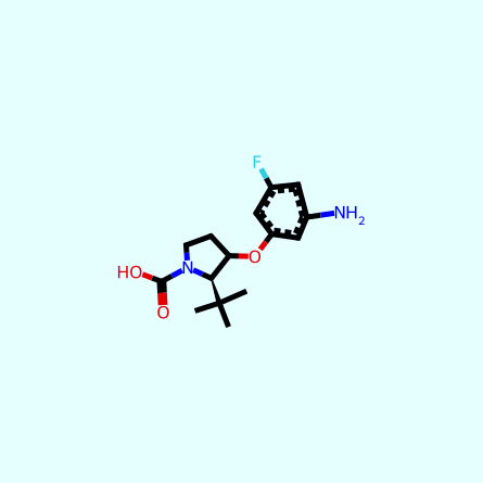 CC(C)(C)[C@@H]1C(Oc2cc(N)cc(F)c2)CCN1C(=O)O